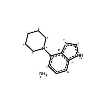 N.c1cc(N2CCCCC2)c2nc[nH]c2c1